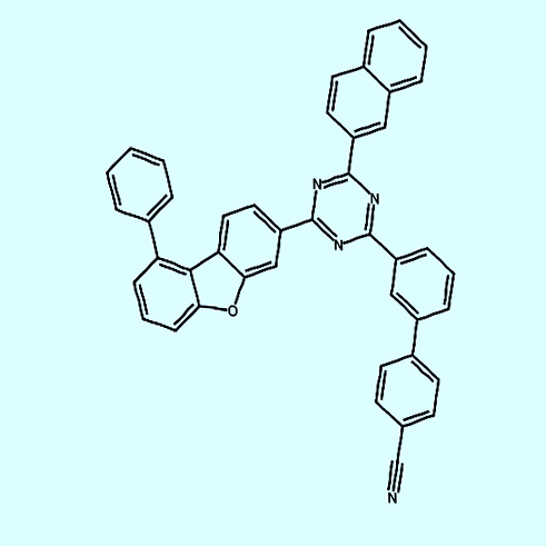 N#Cc1ccc(-c2cccc(-c3nc(-c4ccc5ccccc5c4)nc(-c4ccc5c(c4)oc4cccc(-c6ccccc6)c45)n3)c2)cc1